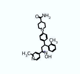 Cc1cc(/C(CC(c2ccc(N3CCC(C(N)=O)CC3)cc2)c2ccccc2C)=N\O)ccn1